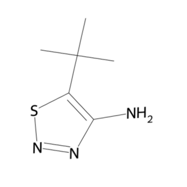 CC(C)(C)c1snnc1N